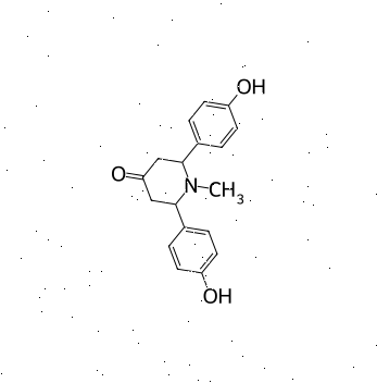 CN1C(c2ccc(O)cc2)CC(=O)CC1c1ccc(O)cc1